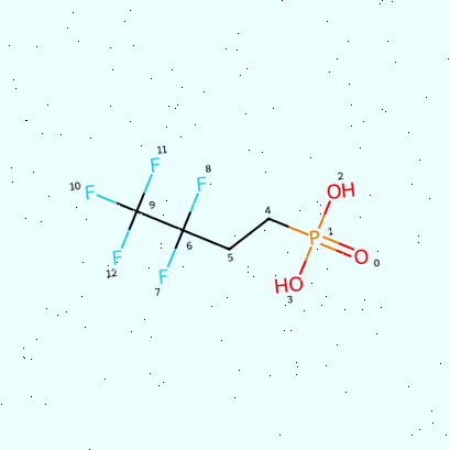 O=P(O)(O)CCC(F)(F)C(F)(F)F